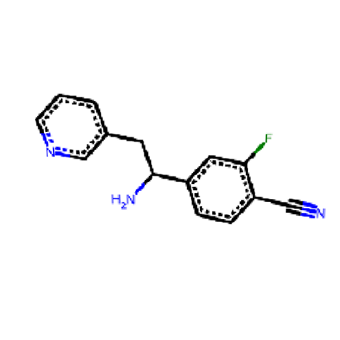 N#Cc1ccc(C(N)Cc2cccnc2)cc1F